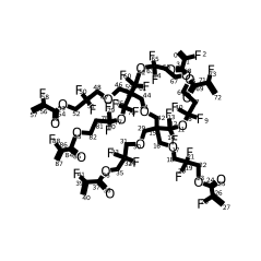 C=C(F)C(=O)OCCC(F)(F)OC(F)(F)C(COCC(F)(F)COC(=O)C(=C)F)(COCC(F)(F)COC(=O)C(=C)F)COCC(COCC(F)(F)COC(=O)C(=C)F)(C(F)(F)OC(F)(F)CCOC(=O)C(=C)F)C(F)(F)OC(F)(F)CCOC(=O)C(=C)F